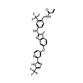 C=CC(=O)NCc1ccc(Nc2nc3cc(Oc4ccnc(-c5ncc(C(F)(F)F)[nH]5)c4)ccc3n2C)cc1C(F)(F)F